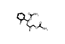 C[C@H](COC(N)=O)C[C@H](OC(N)=O)c1ccccc1F